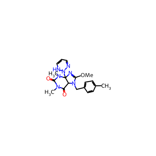 COC1=NC2(N3N=CC=CN3)C(C(=O)N(C)C(=O)N2C)N1Cc1ccc(C)cc1